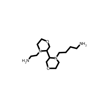 NCCCCN1CCOCC1C1COCCN1CCN